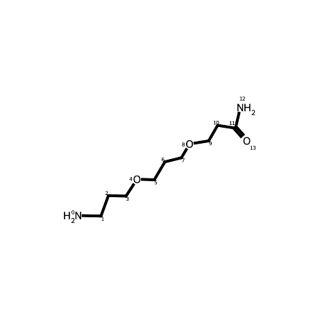 NCCCOCCCOCCC(N)=O